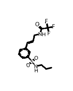 CCCNS(=O)(=O)c1cccc(C=CCNC(=O)C(F)(F)F)c1